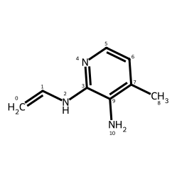 C=CNc1nccc(C)c1N